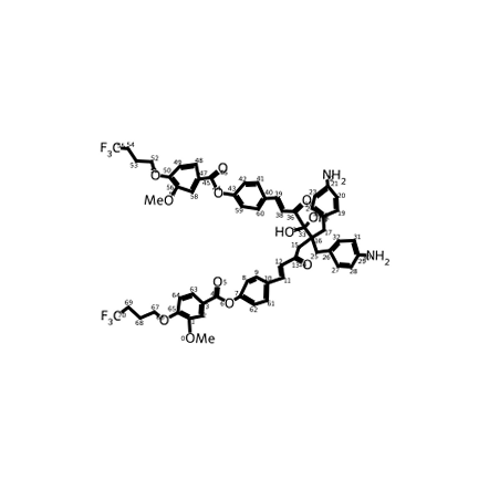 COc1cc(C(=O)Oc2ccc(C=CC(=O)CC(Cc3ccc(N)cc3)(Cc3ccc(N)cc3)C(O)(O)C(=O)C=Cc3ccc(OC(=O)c4ccc(OCCCC(F)(F)F)c(OC)c4)cc3)cc2)ccc1OCCCC(F)(F)F